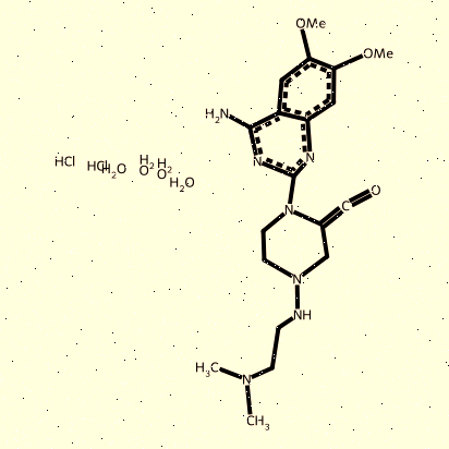 COc1cc2nc(N3CCN(NCCN(C)C)CC3=C=O)nc(N)c2cc1OC.Cl.Cl.O.O.O.O